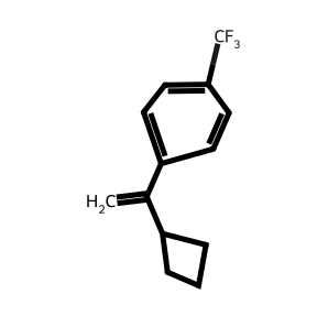 C=C(c1ccc(C(F)(F)F)cc1)C1CCC1